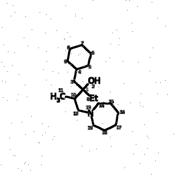 CCC(O)(CC1CCCCC1)C(C)CN1CCCCCC1